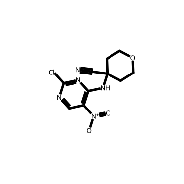 N#CC1(Nc2nc(Cl)ncc2[N+](=O)[O-])CCOCC1